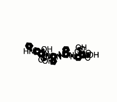 O=S(=O)(O)c1cc(S(=O)(=O)O)c2cc(N=Nc3ccc(N=Nc4ccc(N=Nc5c(S(=O)(=O)O)cc6cc(Nc7ccccc7)ccc6c5O)c5ccccc45)c4ccccc34)ccc2c1